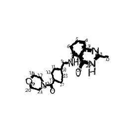 Cc1nc2cccc(NCC3CCC(C(=O)N4CCOCC4)CC3)c2c(=O)[nH]1